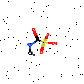 CNC(=O)S(=O)(=O)O